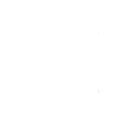 CCC(O)(c1ccc(Cl)cc1)c1ccc(Cl)cc1